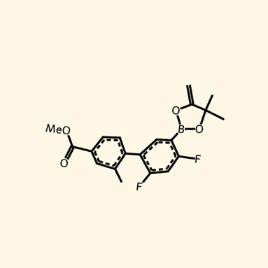 C=C1OB(c2cc(-c3ccc(C(=O)OC)cc3C)c(F)cc2F)OC1(C)C